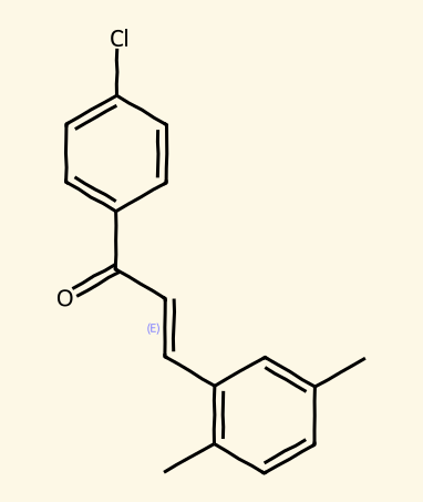 Cc1ccc(C)c(/C=C/C(=O)c2ccc(Cl)cc2)c1